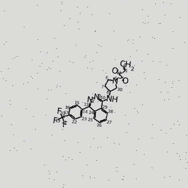 C=CS(=O)(=O)N1CCC(Nc2nnc(-c3ccc(C(F)(F)F)cc3)c3ccccc23)C1